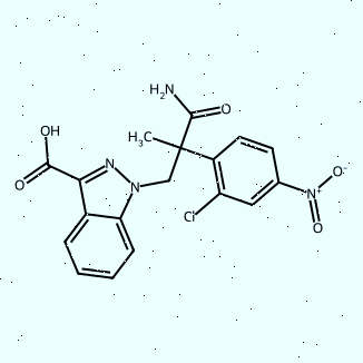 CC(Cn1nc(C(=O)O)c2ccccc21)(C(N)=O)c1ccc([N+](=O)[O-])cc1Cl